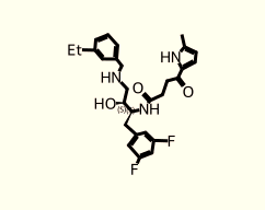 CCc1cccc(CNC[C@H](O)[C@H](Cc2cc(F)cc(F)c2)NC(=O)CCC(=O)c2ccc(C)[nH]2)c1